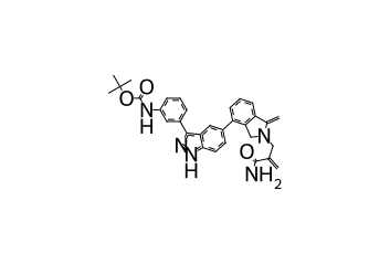 C=C(CN1Cc2c(cccc2-c2ccc3[nH]nc(-c4cccc(NC(=O)OC(C)(C)C)c4)c3c2)C1=C)C(N)=O